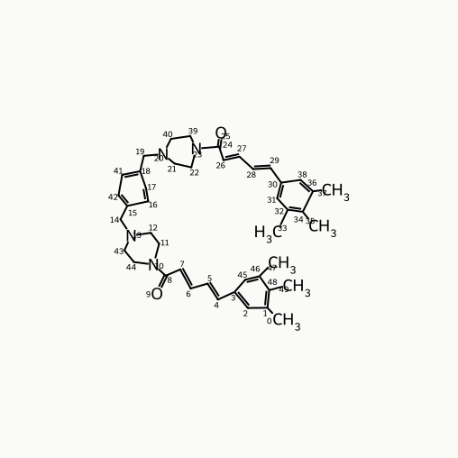 Cc1cc(C=CC=CC(=O)N2CCN(Cc3ccc(CN4CCN(C(=O)C=CC=Cc5cc(C)c(C)c(C)c5)CC4)cc3)CC2)cc(C)c1C